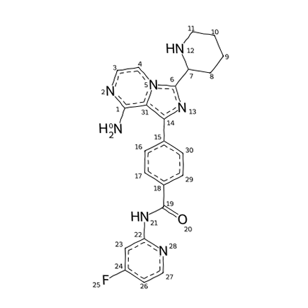 Nc1nccn2c(C3CCCCN3)nc(-c3ccc(C(=O)Nc4cc(F)ccn4)cc3)c12